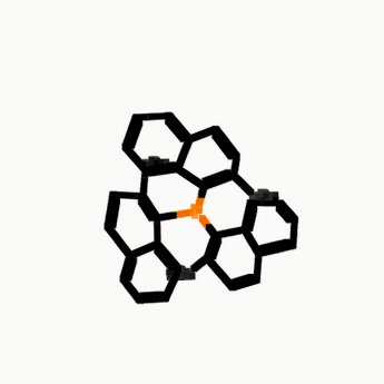 CCCCc1ccc2ccccc2c1P(c1c(CCCC)ccc2ccccc12)c1c(CCCC)ccc2ccccc12